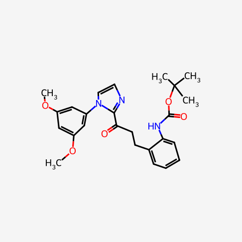 COc1cc(OC)cc(-n2ccnc2C(=O)CCc2ccccc2NC(=O)OC(C)(C)C)c1